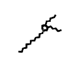 CCCCCCCCCCCC[n+]1ccc(CCCCC)c(CCCCC)c1